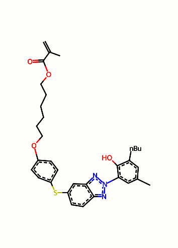 C=C(C)C(=O)OCCCCCCOc1ccc(Sc2ccc3nn(-c4cc(C)cc(CCCC)c4O)nc3c2)cc1